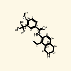 CCc1c(NC(=O)c2ccc(OC)c(C(F)(F)F)c2)ccc2c1CNCC2